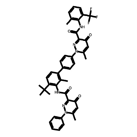 Cc1cccc(C(F)(F)F)c1NC(=O)c1nn(-c2ccc(-c3ccc(C(C)(C)C)c(NC(=O)c4nn(-c5ccccc5)c(C)cc4=O)c3C)cc2)c(C)cc1=O